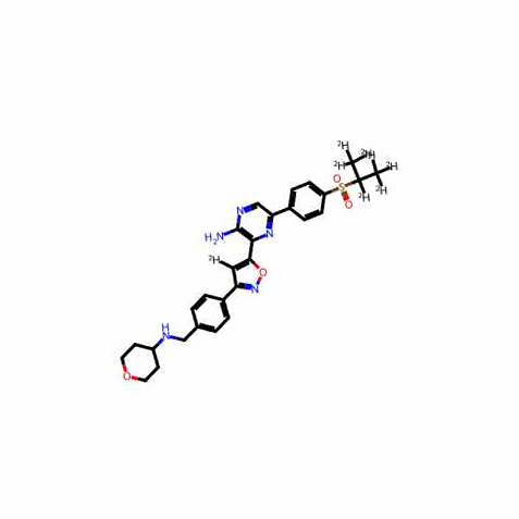 [2H]c1c(-c2ccc(CNC3CCOCC3)cc2)noc1-c1nc(-c2ccc(S(=O)(=O)C([2H])(C([2H])([2H])[2H])C([2H])([2H])[2H])cc2)cnc1N